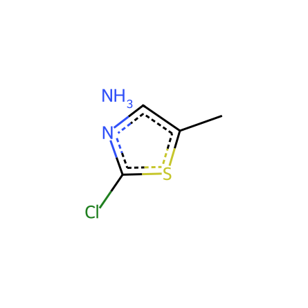 Cc1cnc(Cl)s1.N